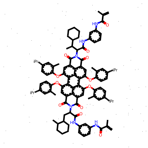 C=C(C)C(=O)Nc1cccc(NC(=O)C(CC2CCCCC2C)N2C(=O)c3cc(Oc4ccc(C(C)C)cc4C)c4c5c(Oc6ccc(C(C)C)cc6C)cc6c7c(cc(Oc8ccc(C(C)C)cc8C)c(c8c(Oc9ccc(C(C)C)cc9C)cc(c3c48)C2=O)c75)C(=O)N(C(C(=O)Nc2cccc(NC(=O)C(=C)C)c2)C(C)C2CCCCC2)C6=O)c1